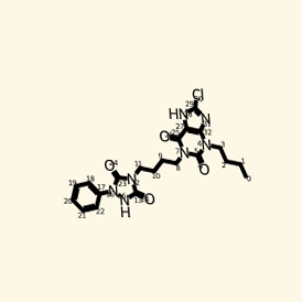 CCCCn1c(=O)n(CCCCn2c(=O)[nH]n(-c3ccccc3)c2=O)c(=O)c2[nH]c(Cl)nc21